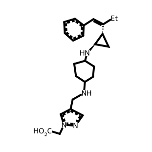 CCC(=Cc1ccccc1)[C@@H]1C[C@H]1NC1CCC(NCc2cnn(CC(=O)O)c2)CC1